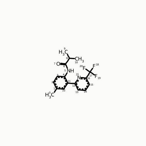 Cc1ccc(NC(=O)C(C)C)c(-c2cccc(C(F)(F)F)n2)c1